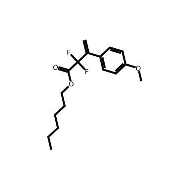 C=C(c1ccc(OC)cc1)C(F)(F)C(=O)OCCCCCC